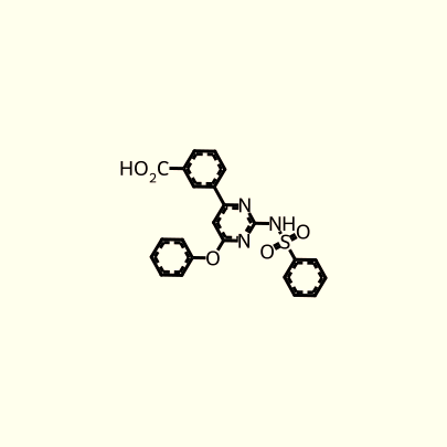 O=C(O)c1cccc(-c2cc(Oc3ccccc3)nc(NS(=O)(=O)c3ccccc3)n2)c1